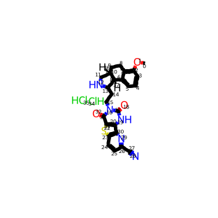 COc1cccc2c1CC[C@H]1CNC(CCn3c(=O)[nH]c4c(sc5ccc(C#N)nc54)c3=O)[C@@H]21.Cl.Cl